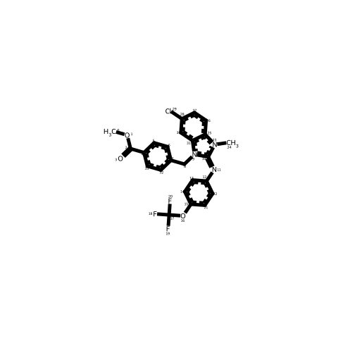 COC(=O)c1ccc(Cn2c(=Nc3ccc(OC(F)(F)F)cc3)n(C)c3ccc(Cl)cc32)cc1